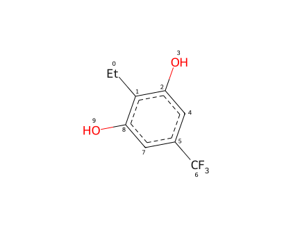 CCc1c(O)cc(C(F)(F)F)cc1O